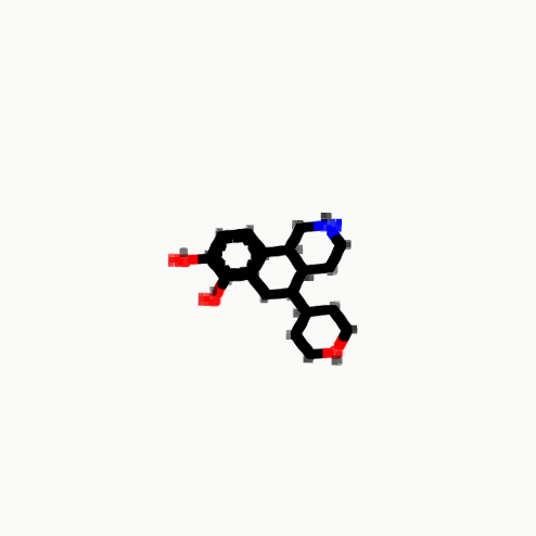 Oc1ccc2c(c1O)CC(C1CCOCC1)C1CCNCC21